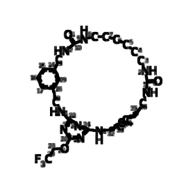 O=C1NCCCCCCNC(=O)NCc2cccc(c2)CNc2nc(nc(OCC(F)(F)F)n2)Nc2ccc(cc2)CN1